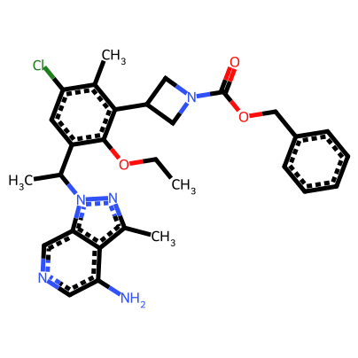 CCOc1c(C(C)n2nc(C)c3c(N)cncc32)cc(Cl)c(C)c1C1CN(C(=O)OCc2ccccc2)C1